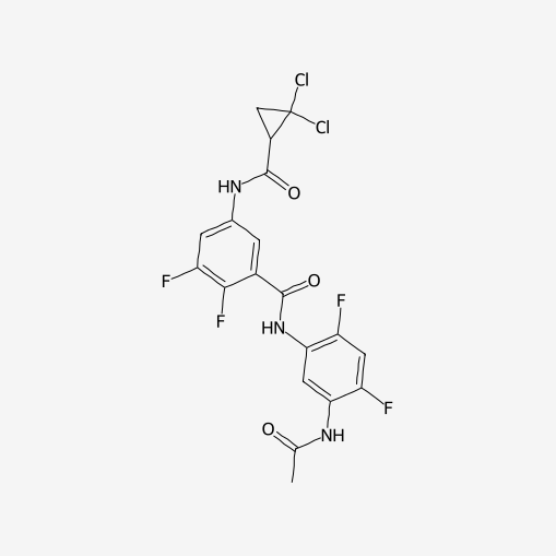 CC(=O)Nc1cc(NC(=O)c2cc(NC(=O)C3CC3(Cl)Cl)cc(F)c2F)c(F)cc1F